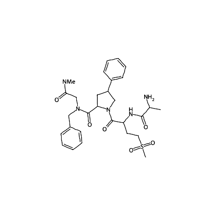 CNC(=O)CN(Cc1ccccc1)C(=O)C1CC(c2ccccc2)CN1C(=O)C(CCS(C)(=O)=O)NC(=O)C(C)N